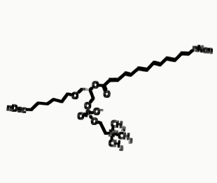 CCCCCCCCCC=CC=CC=CC=CC=CC=CC(=O)O[C@@H](COCCCCCCCCCCCCCCCC)COP(=O)([O-])OCC[N+](C)(C)C